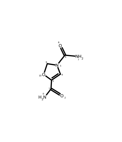 NC(=O)C1=CN(C(N)=O)CO1